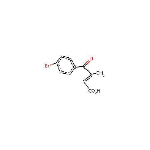 CC(=CC(=O)O)C(=O)c1ccc(Br)cc1